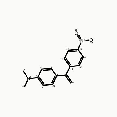 C=C(c1ccc(N(C)C)cc1)c1ccc([N+](=O)[O-])cc1